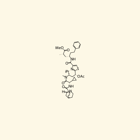 COC(=O)[C@@H](C)C[C@H](CCc1ccccc1)NC(=O)c1csc([C@@H](C[C@H](C(C)C)N(C)C(=O)[C@@H](NC(=O)[C@H]2CC3CCN2CC3)C2CC2)OC(C)=O)n1